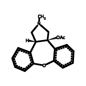 CC(=O)O[C@@]12CN(C)C[C@@H]1c1ccccc1Oc1ccccc12